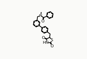 CN(Cc1cccc(-c2ccc(CC3SC(=O)NC3=O)cc2)c1)C(=O)c1ccccc1